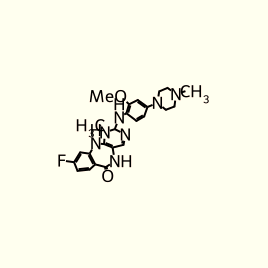 COc1cc(N2CCN(C)CC2)ccc1NC1N=CC2=C(Nc3cc(F)ccc3C(=O)N2)N1C